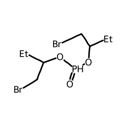 CCC(CBr)O[PH](=O)OC(CC)CBr